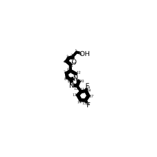 OCc1ccc(-c2ccc3nc(-c4ccc(F)cc4F)cn3c2)o1